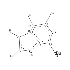 Cc1nc(C(C)(C)C)c2oc(C)c(C)c2c1C